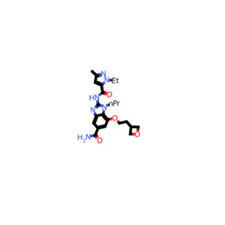 CCCn1c(NC(=O)c2cc(C)nn2CC)nc2cc(C(N)=O)cc(OCCC3COC3)c21